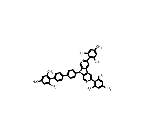 Cc1cc(C)c(-c2ccc(-c3ccc(-n4c5cnc(-c6c(C)cc(C)cc6C)cc5c5cc(-c6c(C)cc(C)cc6C)ncc54)cc3)cc2)c(C)c1